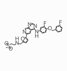 CS(=O)(=O)CCNCc1ccc(-c2cc3c(Nc4ccc(OCc5cccc(F)c5)c(F)c4)ncnc3cn2)o1